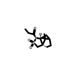 CCC(=O)N1[C@H]2CC3CC[C@@]2(CS1(=O)=O)C3(C)C